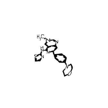 CN1C=Nc2cc(-c3ccc(N4CCOCC4)cc3)nc(Nc3nccs3)c2C1